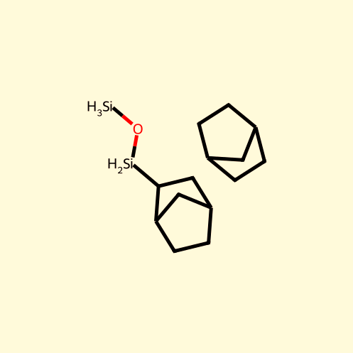 C1CC2CCC1C2.[SiH3]O[SiH2]C1CC2CCC1C2